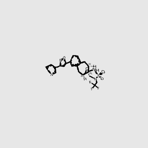 O=S1(=O)N[C@@]2(CN1CC(F)(F)F)[C@@H]1CC[C@H]2Cc2ccc(-c3cc(-c4cccnc4)no3)cc2C1